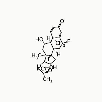 CC1CO[C@]2(C3(C#N)CO3)[C@@H](C[C@H]3[C@@H]4C[C@H](F)C5=CC(=O)C=C[C@]5(C)[C@H]4[C@@H](O)C[C@@]32C)O1